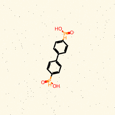 O=[PH](O)c1ccc(-c2ccc([PH](=O)O)cc2)cc1